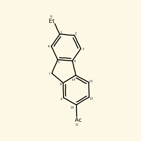 CCc1ccc2c(c1)Cc1cc(C(C)=O)ccc1-2